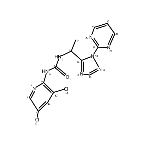 CC(NC(=O)Nc1ncc(Cl)cc1Cl)c1ncnn1-c1ncccn1